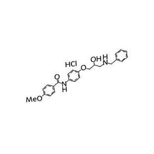 COc1ccc(C(=O)Nc2ccc(OCC(O)CNCc3ccccc3)cc2)cc1.Cl